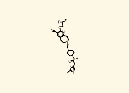 Cc1ncc(CC(=O)N[C@H]2CC[C@H](CCN3CCc4cc(C#N)c(OCC(F)F)nc4CC3)CC2)s1